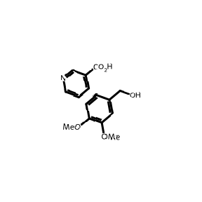 COc1ccc(CO)cc1OC.O=C(O)c1cccnc1